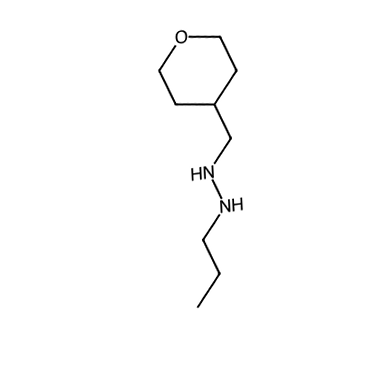 CCCNNCC1CCOCC1